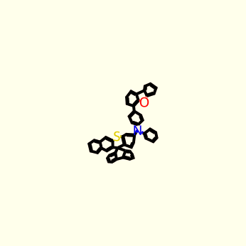 c1ccc(N(c2ccc(-c3cccc4c3oc3ccccc34)cc2)c2ccc3c(c2)Sc2cc4ccccc4cc2C32c3ccccc3-c3ccccc32)cc1